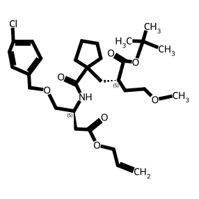 C=CCOC(=O)C[C@@H](COCc1ccc(Cl)cc1)NC(=O)C1(C[C@@H](CCOC)C(=O)OC(C)(C)C)CCCC1